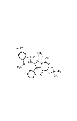 COc1ccc(C(F)(F)F)cc1CN[C@H]1[C@H](C(C)(C)C)[C@@H](C(=O)O)N(C(=O)C2CCC(C)(C)C2)[C@H]1c1ccccc1